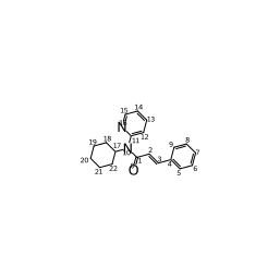 O=C(C=Cc1ccccc1)N(c1ccccn1)C1CCCCC1